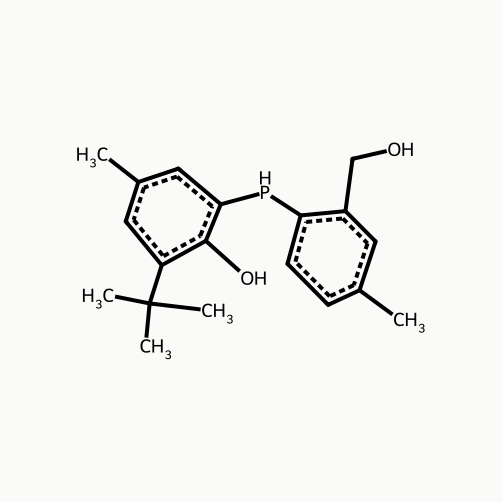 Cc1ccc(Pc2cc(C)cc(C(C)(C)C)c2O)c(CO)c1